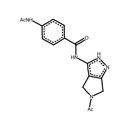 CC(=O)Nc1ccc(C(=O)Nc2[nH]nc3c2CN(C(C)=O)C3)cc1